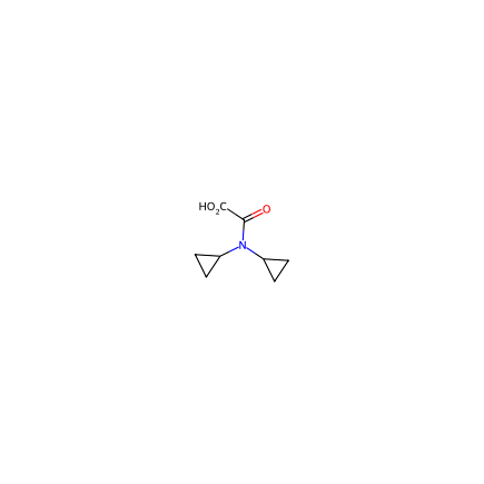 O=C(O)C(=O)N(C1CC1)C1CC1